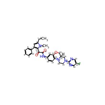 CCc1cc(-c2ccccc2)c(C(=O)C(=O)Nc2ccc3c(c2)OC[C@@H]2CN(c4ncc(F)cn4)CCN32)n1C